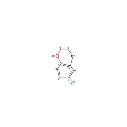 Fc1ccc2c(c1)[C]CCO2